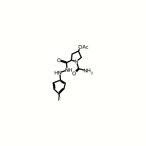 CC(=O)OC1CC(C(=O)NNc2ccc(F)cc2)N(C(N)=O)C1